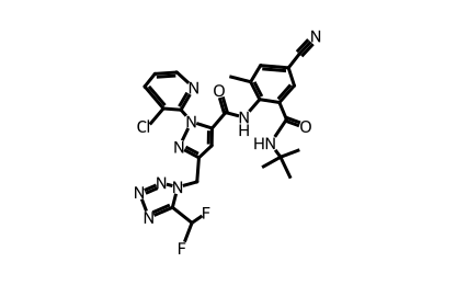 Cc1cc(C#N)cc(C(=O)NC(C)(C)C)c1NC(=O)c1cc(Cn2nnnc2C(F)F)nn1-c1ncccc1Cl